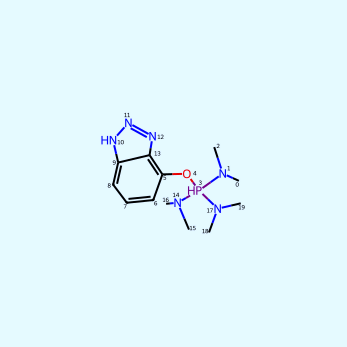 CN(C)[PH](Oc1cccc2[nH]nnc12)(N(C)C)N(C)C